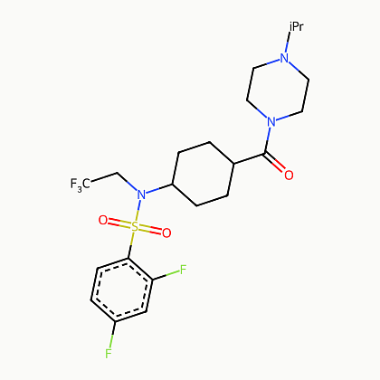 CC(C)N1CCN(C(=O)C2CCC(N(CC(F)(F)F)S(=O)(=O)c3ccc(F)cc3F)CC2)CC1